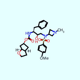 COc1ccc(S(=O)(=O)N(C[C@@H](O)[C@H](Cc2ccccc2)NC(=O)O[C@H]2C[C@H]3CCO[C@H]3C2)C2CN(C)C2)cc1